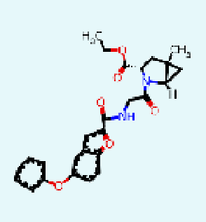 CCOC(=O)[C@@H]1C[C@]2(C)C[C@@H]2N1C(=O)CNC(=O)c1cc2cc(Oc3ccccc3)ccc2o1